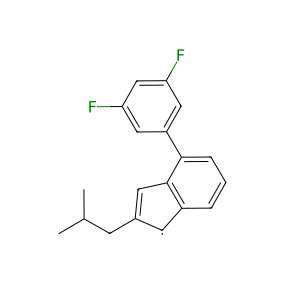 CC(C)CC1=Cc2c(cccc2-c2cc(F)cc(F)c2)[CH]1